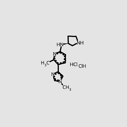 Cc1nc(N[C@H]2CCNC2)ccc1-c1cn(C)cn1.Cl.Cl